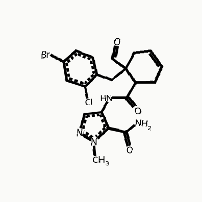 Cn1ncc(NC(=O)C2CC=CCC2(C=O)Cc2ccc(Br)cc2Cl)c1C(N)=O